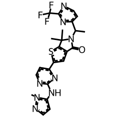 CC(c1ccnc(C(F)(F)F)n1)N1C(=O)c2cc(-c3ccnc(Nc4ccnn4C)n3)sc2C1(C)C